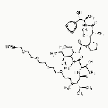 C#CCOCCOCCOCCOCCN(C)[C@H](C(=O)N[C@H](C(=O)N(C)[C@@H]([C@@H](C)CC)[C@@H](CC(=O)N1CCC[C@H]1[C@H](OC)[C@@H](C)C(=O)N[C@H](C)[C@@H](O)c1ccccc1)OC)C(C)C)C(C)C